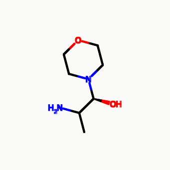 CC(N)[C@H](O)N1CCOCC1